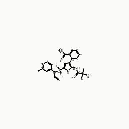 C=CC(c1ccnc(C)c1)S(=O)(=O)c1cc(-c2ccccc2C(N)=O)c(NC(=O)C(C)(C)O)s1